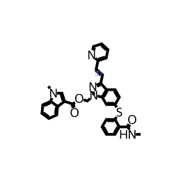 CNC(=O)c1ccccc1Sc1ccc2c(/C=C/c3ccccn3)nn(COC(=O)c3cn(C)c4ccccc34)c2c1